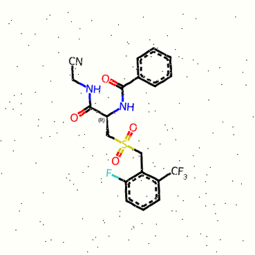 N#CCNC(=O)[C@H](CS(=O)(=O)Cc1c(F)cccc1C(F)(F)F)NC(=O)c1ccccc1